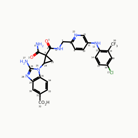 NC(=O)C1(C(=O)NCc2ccc(Nc3ccc(Cl)cc3C(F)(F)F)cn2)CC1n1c(N)nc2cc(C(=O)O)ccc21